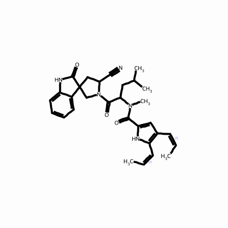 C/C=C\c1cc(C(=O)N(C)C(CC(C)C)C(=O)N2CC3(CC2C#N)C(=O)Nc2ccccc23)[nH]c1/C=C\C